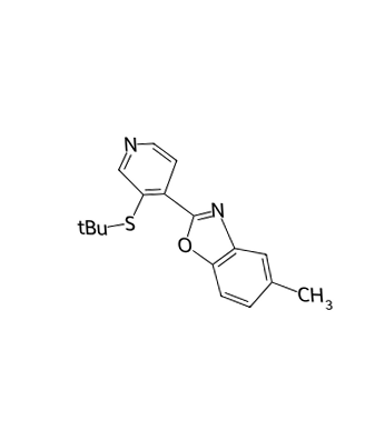 Cc1ccc2oc(-c3ccncc3SC(C)(C)C)nc2c1